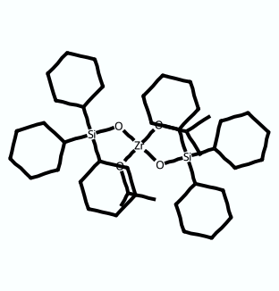 CC(C)[O][Zr]([O]C(C)C)([O][Si](C1CCCCC1)(C1CCCCC1)C1CCCCC1)[O][Si](C1CCCCC1)(C1CCCCC1)C1CCCCC1